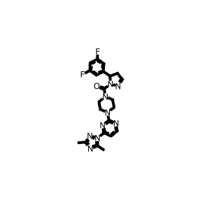 Cc1nc(C)n(-c2ccnc(N3CCN(C(=O)N4N=CCC4c4cc(F)cc(F)c4)CC3)n2)n1